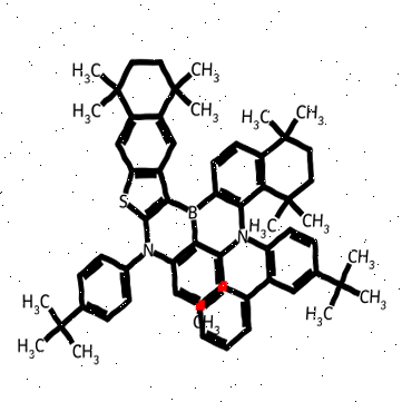 Cc1cc2c3c(c1)N(c1ccc(C(C)(C)C)cc1-c1ccccc1)c1c(ccc4c1C(C)(C)CCC4(C)C)B3c1c(sc3cc4c(cc13)C(C)(C)CCC4(C)C)N2c1ccc(C(C)(C)C)cc1